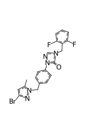 Cc1cc(Br)nn1Cc1ccc(-n2ncn(Cc3c(F)cccc3F)c2=O)cc1